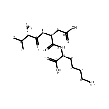 CC(C)[C@H](N)C(=O)N[C@@H](CC(=O)O)C(=O)N[C@@H](CCCCN)C(=O)O